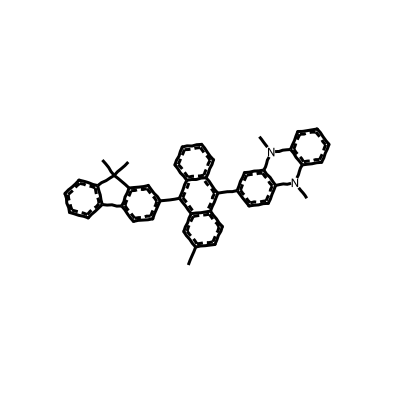 Cc1ccc2c(-c3ccc4c(c3)N(C)c3ccccc3N4C)c3ccccc3c(-c3ccc4c(c3)C(C)(C)c3ccccc3-4)c2c1